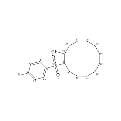 Cc1ccc(S(=O)(=O)C2CCCCCCCCCCC2I)cc1